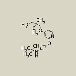 CCC(C)(C)COc1ccnc(O[C@H]2C[C@@H](NC(C)(C)C)C2)c1